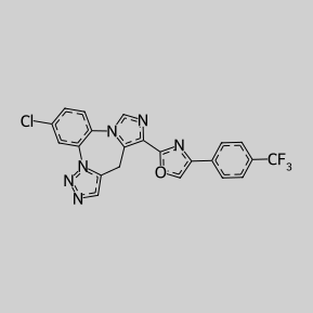 FC(F)(F)c1ccc(-c2coc(-c3ncn4c3Cc3cnnn3-c3cc(Cl)ccc3-4)n2)cc1